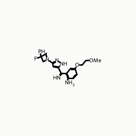 COCCOc1ccc(N)c(C(=N)c2cc(N3CC(F)(P)C3)n[nH]2)c1